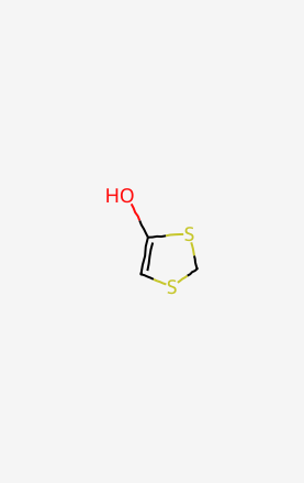 OC1=CSCS1